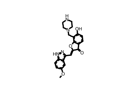 COc1ccc2[nH]nc(C=C3Oc4c(ccc(O)c4CN4CCNCC4)C3=O)c2c1